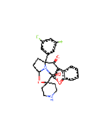 O=C1N2C(CCC2(C(=O)c2coc3ccccc23)c2cc(F)cc(F)c2)OC12CCNCC2